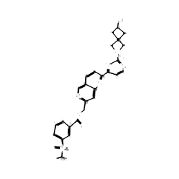 O=C(NCc1cc2nc(-c3ccnc(N4CC5(CC(O)C5)C4)n3)ccc2cn1)c1cccc(S(=O)(=O)C(F)F)c1